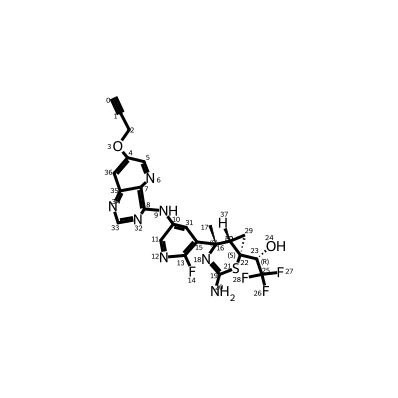 C#CCOc1cnc2c(Nc3cnc(F)c([C@@]4(C)N=C(N)S[C@@]5([C@H](O)C(F)(F)F)C[C@H]54)c3)ncnc2c1